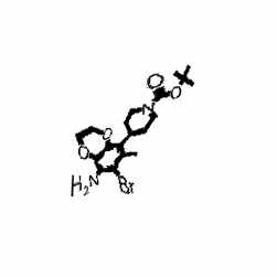 Cc1c(Br)c(N)c2c(c1C1=CCN(C(=O)OC(C)(C)C)CC1)OCCO2